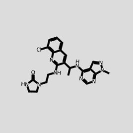 CC(Nc1ncnc2c1cnn2C)c1cc2cccc(Cl)c2nc1NCCN1CCNC1=O